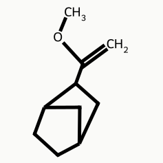 C=C(OC)C1CC2CCC1C2